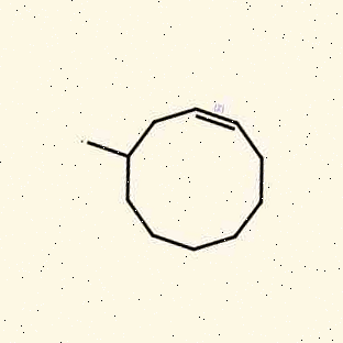 [CH2]C1C/C=C\CCCCCC1